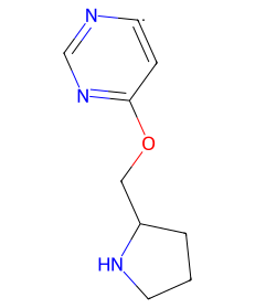 [c]1cc(OCC2CCCN2)ncn1